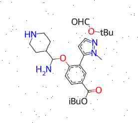 CC(C)(C)OC=O.CC(C)COC(=O)c1ccc(OC(N)C2CCNCC2)c(-c2ccnn2C)c1